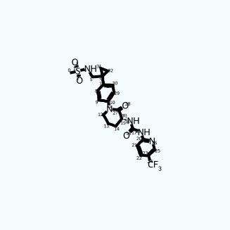 CS(=O)(=O)NCC1(c2ccc(N3CCC[C@@H](NC(=O)Nc4ccc(C(F)(F)F)cn4)C3=O)cc2)CC1